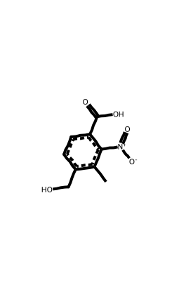 Cc1c(CO)ccc(C(=O)O)c1[N+](=O)[O-]